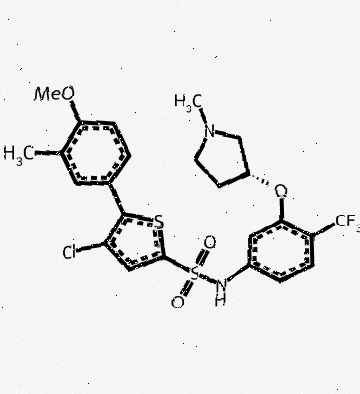 COc1ccc(-c2sc(S(=O)(=O)Nc3ccc(C(F)(F)F)c(O[C@@H]4CCN(C)C4)c3)cc2Cl)cc1C